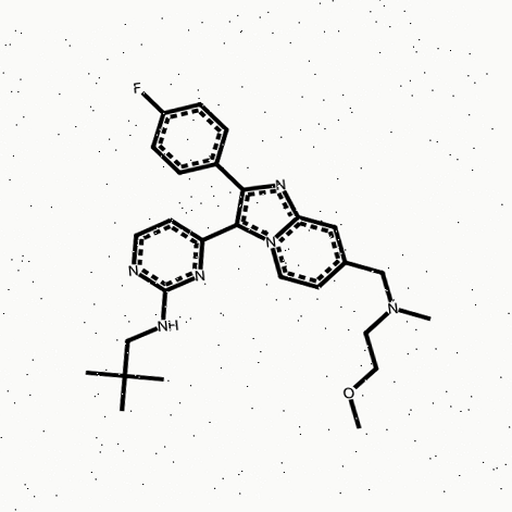 COCCN(C)Cc1ccn2c(-c3ccnc(NCC(C)(C)C)n3)c(-c3ccc(F)cc3)nc2c1